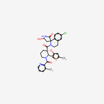 CCC[C@H]1N(C(=O)c2ncccc2C(F)(F)F)CCC[C@@]1(Oc1csc(C(F)(F)F)c1)C(=O)N1CCc2cc(Cl)ccc2C1(CCO)C(N)=O